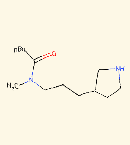 CCCCC(=O)N(C)CCCC1CCNC1